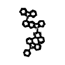 c1ccc(-n2c3ccccc3c3c(-c4nc(-n5c6ccccc6c6cc7c(-n8c9ccccc9c9ccccc98)cccc7cc65)nc5ccccc45)cccc32)cc1